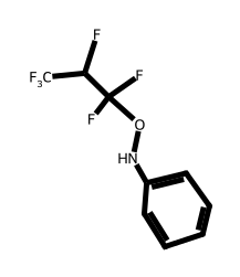 FC(C(F)(F)F)C(F)(F)ONc1ccccc1